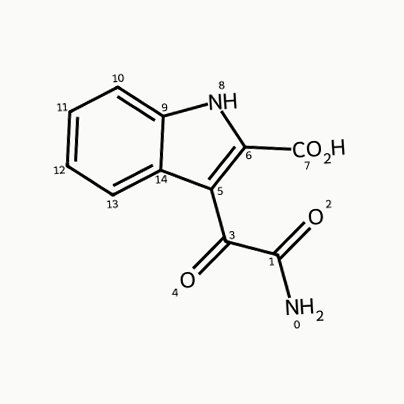 NC(=O)C(=O)c1c(C(=O)O)[nH]c2ccccc12